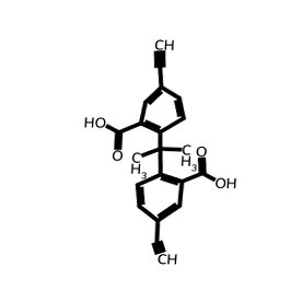 C#Cc1ccc(C(C)(C)c2ccc(C#C)cc2C(=O)O)c(C(=O)O)c1